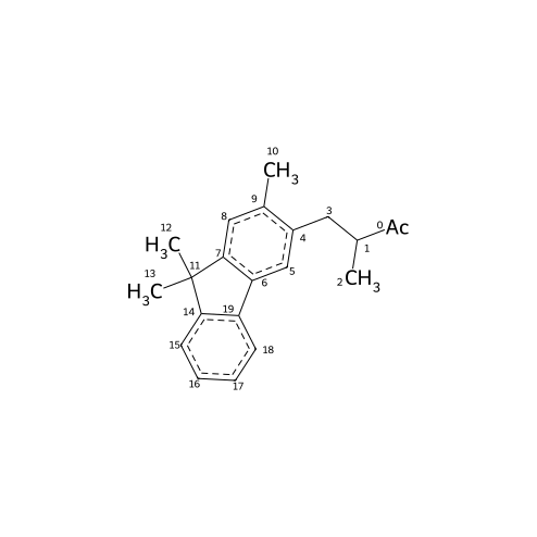 CC(=O)C(C)Cc1cc2c(cc1C)C(C)(C)c1ccccc1-2